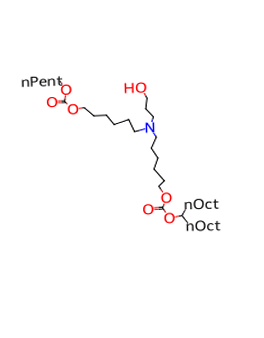 CCCCCCCCC(CCCCCCCC)OC(=O)OCCCCCCN(CCCO)CCCCCCOC(=O)OCCCCC